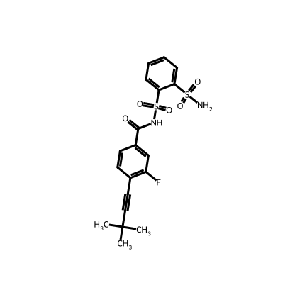 CC(C)(C)C#Cc1ccc(C(=O)NS(=O)(=O)c2ccccc2S(N)(=O)=O)cc1F